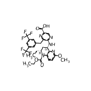 CCOC(=O)N1c2ccc(OC)nc2[C@@H](Nc2ncc(C(=O)O)nc2Cc2cc(C(F)(F)F)cc(C(F)(F)F)c2)C[C@H]1CC